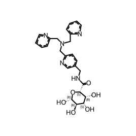 O=C(NCc1ccc(CN(Cc2ccccn2)Cc2ccccn2)nc1)[C@H]1O[C@@H](O)[C@H](O)[C@@H](O)[C@H]1O